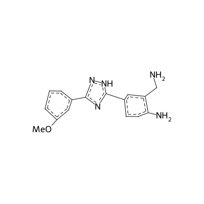 COc1cccc(-c2n[nH]c(-c3ccc(N)c(CN)c3)n2)c1